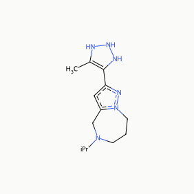 CC1=C(c2cc3n(n2)CCCN(C(C)C)C3)NNN1